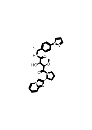 CO[C@@H](C(=O)N1CCC[C@@H]1c1cn2ccccc2n1)[C@@H](O)C(=O)N[C@H](C)c1ccc(-n2cccn2)cc1